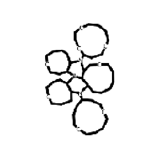 C1CCCCCC(N2C3CCCCCCCC3B3C4CCCCCCCC4N(C4CCCCCCCCCCC4)C4CCCCCCCCC2C34)CCCCC1